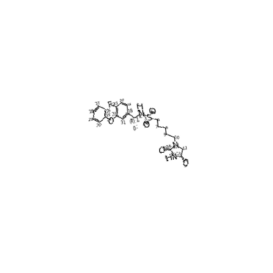 C[C@@H](NS(=O)(=O)CCCCCN1CC(=O)NC1=O)c1ccc(F)c(Oc2ccccc2)c1